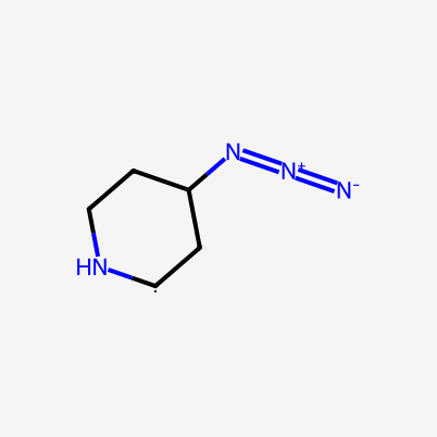 [N-]=[N+]=NC1C[CH]NCC1